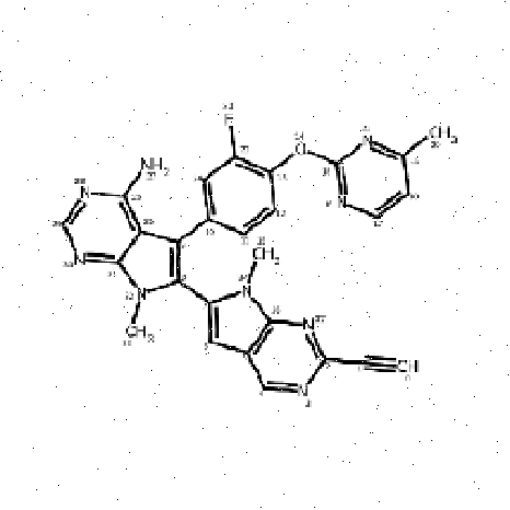 C#Cc1ncc2cc(-c3c(-c4ccc(Oc5nccc(C)n5)c(F)c4)c4c(N)ncnc4n3C)n(C)c2n1